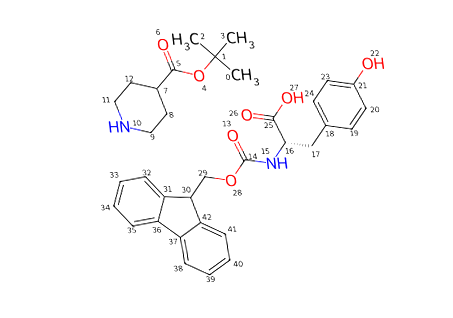 CC(C)(C)OC(=O)C1CCNCC1.O=C(N[C@@H](Cc1ccc(O)cc1)C(=O)O)OCC1c2ccccc2-c2ccccc21